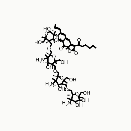 C/C=C/C1=CC2=CC3=C(C(=O)CCCCC)C(=O)OC3(C)C(=O)C2=CN1C1(C)[C@](C)(O)[C@](C)(COC[C@]2(C)OC(C)(CO)[C@@](C)(COC[C@]3(C)OC(C)(CO)[C@@](C)(COC[C@]4(C)OC(C)(CO)[C@@](C)(O)[C@@](C)(O)C4(C)N)[C@@](C)(O)C3(C)N)[C@@](C)(O)C2(C)N)C(C)(CO)O[C@@]1(C)O